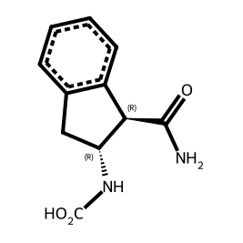 NC(=O)[C@@H]1c2ccccc2C[C@H]1NC(=O)O